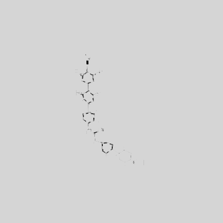 CC1CCC(c2ccc(CC(=O)Oc3ccc(-c4cc(F)c(-c5cc(F)c(C#N)c(F)c5)c(F)c4)cc3)cc2)CC1